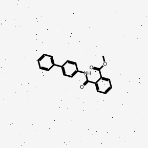 COC(=O)c1ccccc1C(=O)Nc1ccc(-c2cc[c]cc2)cc1